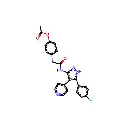 CC(=O)Oc1ccc(CC(=O)Nc2n[nH]c(-c3ccc(F)cc3)c2-c2ccncc2)cc1